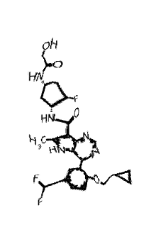 Cc1[nH]c2c(-c3cc(C(F)F)ccc3OCC3CC3)ncnc2c1C(=O)N[C@@H]1C[C@H](NC(=O)CO)C[C@H]1F